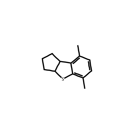 Cc1ccc(C)c2c1SC1CCCC21